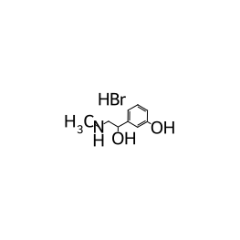 Br.CNCC(O)c1cccc(O)c1